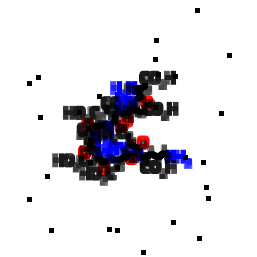 NCCC[C@H](NC(=O)[C@H](CC(=O)O)NC(=O)[C@H](CC(=O)O)NC(=O)[C@H](CC(=O)O)NC(=O)[C@H](CC(=O)O)NC(=O)[C@H](CC(=O)O)NC(=O)[C@H](CC(=O)O)NC(=O)[C@H](CC(=O)O)NC(=O)[C@@H](N)CC(=O)O)C(=O)O